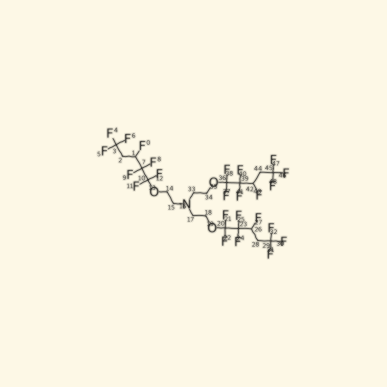 FC(CC(F)(F)F)C(F)(F)C(F)(F)OCCN(CCOC(F)(F)C(F)(F)C(F)CC(F)(F)F)CCOC(F)(F)C(F)(F)C(F)CC(F)(F)F